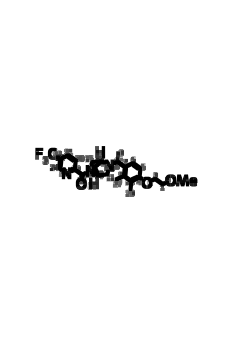 COCCOc1ccc([C@H](C)N2C[C@@H]3C[C@H]2CN3C(=O)c2ccc(C(F)(F)F)cn2)c(C)c1C